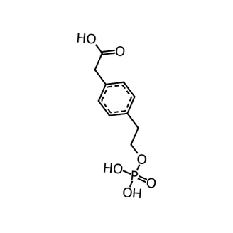 O=C(O)Cc1ccc(CCOP(=O)(O)O)cc1